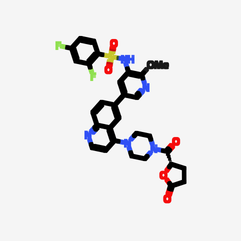 COc1ncc(-c2ccc3nccc(N4CCN(C(=O)[C@@H]5CCC(=O)O5)CC4)c3c2)cc1NS(=O)(=O)c1ccc(F)cc1F